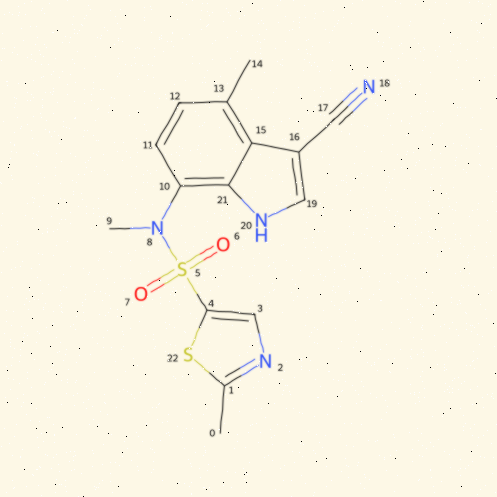 Cc1ncc(S(=O)(=O)N(C)c2ccc(C)c3c(C#N)c[nH]c23)s1